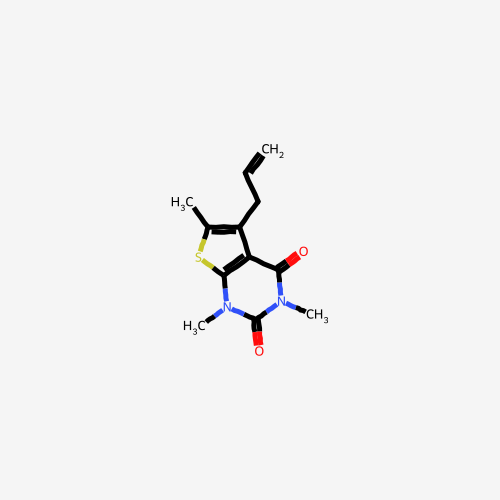 C=CCc1c(C)sc2c1c(=O)n(C)c(=O)n2C